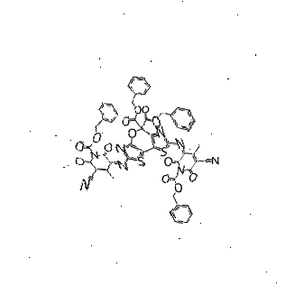 CC1=C(C#N)C(=O)N(C(=O)OCc2ccccc2)C(=O)/C1=N\c1nc2c(s1)-c1sc(/N=C3\C(=O)N(C(=O)OCc4ccccc4)C(=O)C(C#N)=C3C)nc1C(C(=O)OCc1ccccc1)(C(=O)OCc1ccccc1)O2